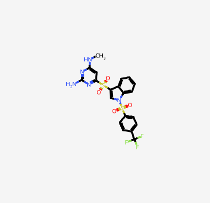 CNc1cc(S(=O)(=O)c2cn(S(=O)(=O)c3ccc(C(F)(F)F)cc3)c3ccccc23)nc(N)n1